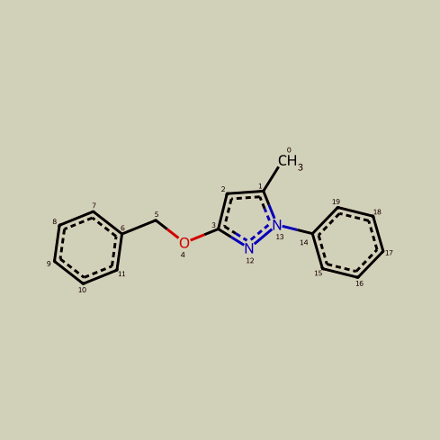 Cc1cc(OCc2ccccc2)nn1-c1ccccc1